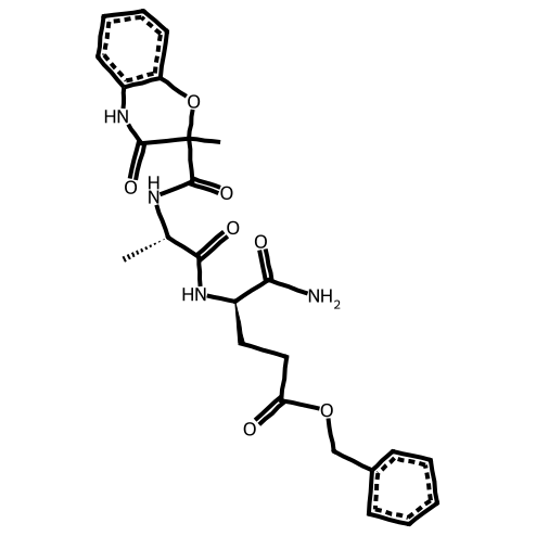 C[C@H](NC(=O)C1(C)Oc2ccccc2NC1=O)C(=O)N[C@H](CCC(=O)OCc1ccccc1)C(N)=O